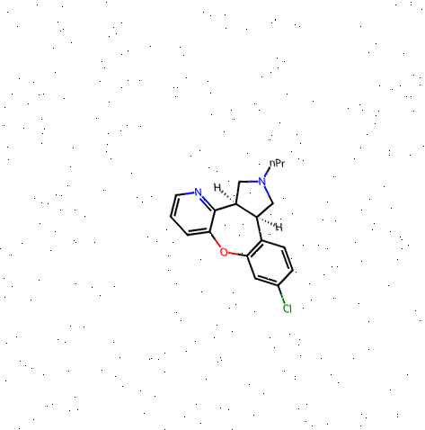 CCCN1C[C@@H]2c3ncccc3Oc3cc(Cl)ccc3[C@@H]2C1